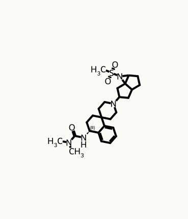 CN(C)C(=O)N[C@@H]1CCC2(CCN(C3CC4CCC5N(S(C)(=O)=O)C45C3)CC2)c2ccccc21